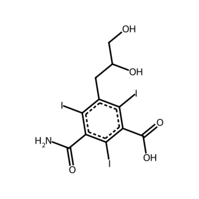 NC(=O)c1c(I)c(CC(O)CO)c(I)c(C(=O)O)c1I